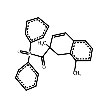 Cc1cccc2c1CC(C)(C(=O)P(=O)(c1ccccc1)c1ccccc1)C=C2